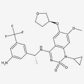 COc1cc2c(cc1O[C@H]1CCOC1)C(N[C@H](C)c1cc(N)cc(C(F)(F)F)c1)=NS(=O)(=O)N2C1CC1